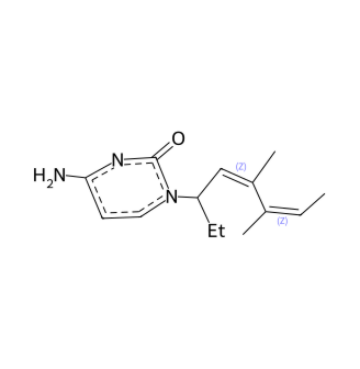 C/C=C(C)\C(C)=C/C(CC)n1ccc(N)nc1=O